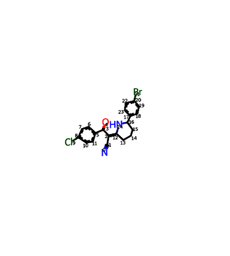 N#CC(C(=O)c1ccc(Cl)cc1)=C1CCCC(c2ccc(Br)cc2)N1